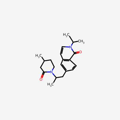 CC1CCN(C(C)Cc2ccc3c(=O)n(C(C)C)ccc3c2)C(=O)C1